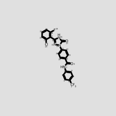 O=C(Nc1ccc(C(F)(F)F)cc1)c1ccc(-n2nc(-c3c(F)cccc3Cl)[nH]c2=O)cc1